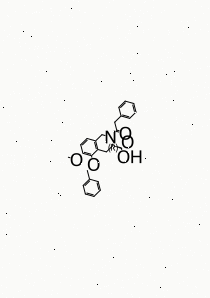 COc1ccc2c(c1OCc1ccccc1)C[C@H](C(=O)O)N(C(=O)Cc1ccccc1)C2